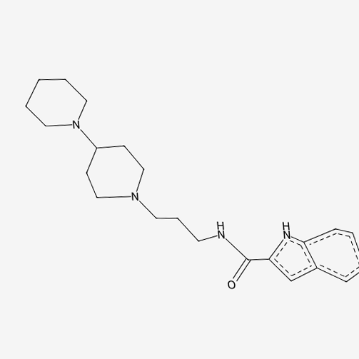 O=C(NCCCN1CCC(N2CCCCC2)CC1)c1cc2ccccc2[nH]1